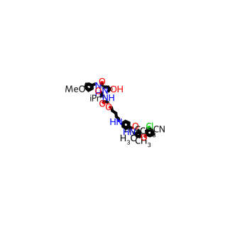 COc1ccc(CNC(=O)[C@@H]2C[C@@H](O)CN2C(=O)[C@@H](NC(=O)COCCCCCNc2ccc(C(=O)N[C@H]3C(C)(C)[C@H](Oc4ccc(C#N)c(Cl)c4)C3(C)C)cc2)C(C)C)cc1